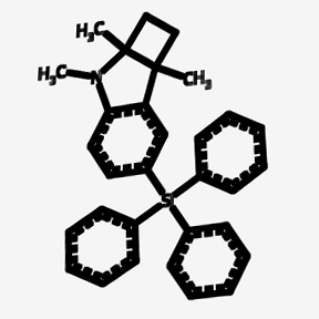 CN1c2ccc([Si](c3ccccc3)(c3ccccc3)c3ccccc3)cc2C2(C)CCC12C